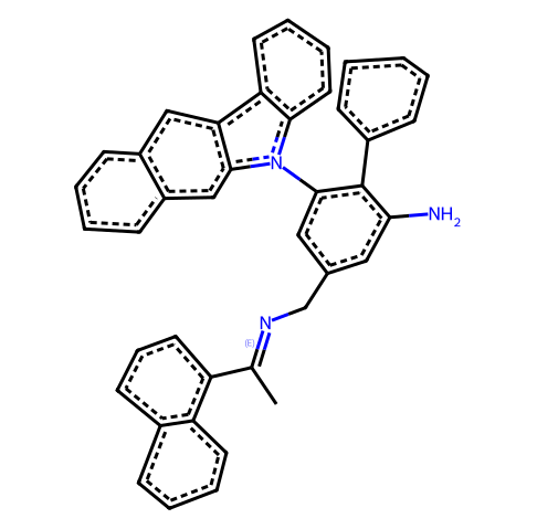 C/C(=N\Cc1cc(N)c(-c2ccccc2)c(-n2c3ccccc3c3cc4ccccc4cc32)c1)c1cccc2ccccc12